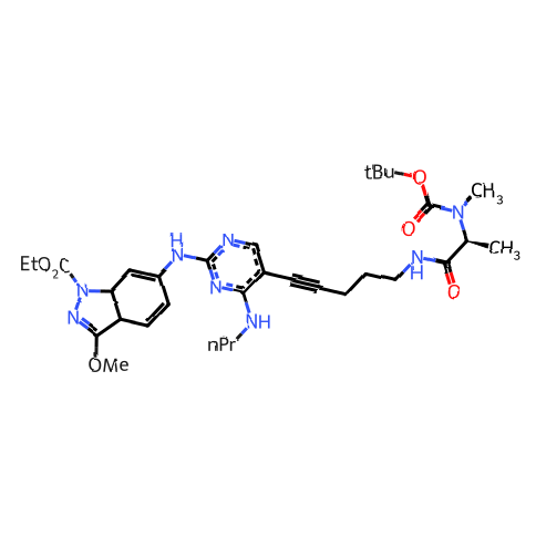 CCCNc1nc(NC2=CC3C(C=C2)C(OC)=NN3C(=O)OCC)ncc1C#CCCCNC(=O)[C@H](C)N(C)C(=O)OC(C)(C)C